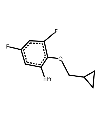 CCCc1cc(F)cc(F)c1OCC1CC1